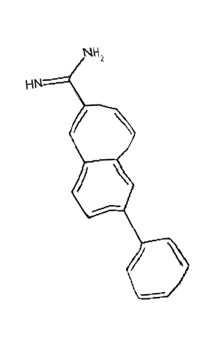 N=C(N)c1ccc2cc(-c3ccccc3)ccc2c1